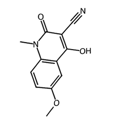 COc1ccc2c(c1)c(O)c(C#N)c(=O)n2C